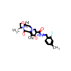 Cc1ccc(CNC(=O)c2cn3c(c(N=O)c2=O)C(=O)N2[C@@H](C)CO[C@@H]2C3)c(F)c1